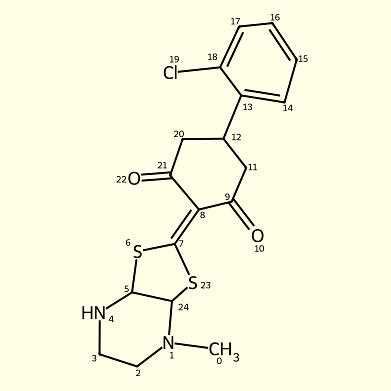 CN1CCNC2SC(=C3C(=O)CC(c4ccccc4Cl)CC3=O)SC21